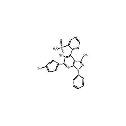 CCc1ccc(-c2nc3c(c(C)nn3-c3ccccc3)c(-c3ccccc3S(C)(=O)=O)c2C#N)cc1